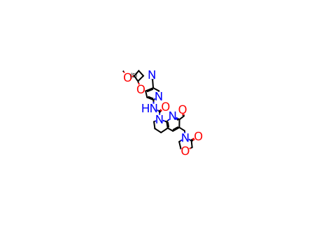 CO[C@H]1CCC1Oc1cc(NC(=O)N2CCCc3cc(CN4CCOCC4=O)c(C=O)nc32)ncc1C#N